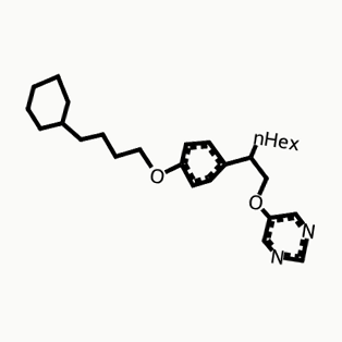 CCCCCCC(COc1cncnc1)c1ccc(OCCCCC2CCCCC2)cc1